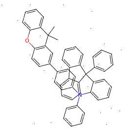 CC1(C)c2ccccc2Oc2ccc(-c3ccc(N(c4ccccc4)c4ccccc4C4(c5ccccc5)c5ccccc5-c5ccccc54)cc3)cc21